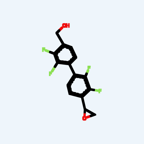 OCc1ccc(-c2ccc(C3CO3)c(F)c2F)c(F)c1F